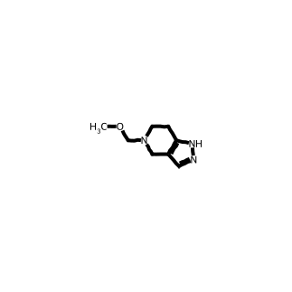 COCN1CCc2[nH]n[c]c2C1